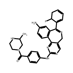 CC1CN(C(=O)c2ccc(Nc3ncc4c(n3)-c3ccc(N)cc3C(C3=CC=CCC3F)=NC4)cc2)CCN1